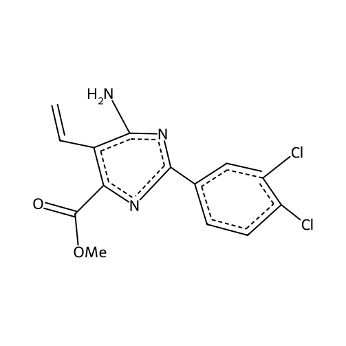 C=Cc1c(N)nc(-c2ccc(Cl)c(Cl)c2)nc1C(=O)OC